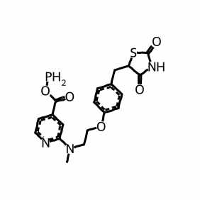 CN(CCOc1ccc(CC2SC(=O)NC2=O)cc1)c1cc(C(=O)OP)ccn1